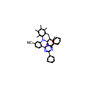 Cc1c(C)c(C)c2c(c1C)Cc1c(C)c(C)c(C)c(C)c1N2c1cc(C#N)ccc1-c1nc(-c2ccccc2)nc(-c2ccccc2)n1